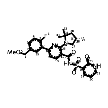 COCc1ccc(F)c(-c2ccc(C(=O)NS(=O)(=O)c3ccc[nH]c3=O)c(N3C[C@@H](C)CC3(C)C)n2)c1